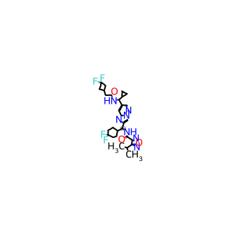 CC(C)c1nonc1C(=O)N[C@H](c1cn2ncc(C(NC(=O)CC3CC(F)(F)C3)C3CC3)cc2n1)C1CCC(F)(F)CC1